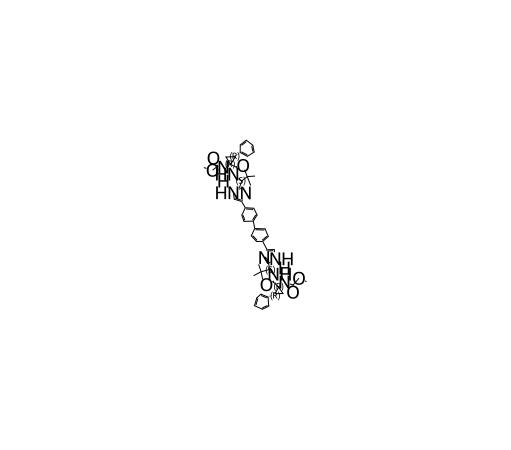 COC(=O)N[C@]1(C(=O)N[C@H](c2nc(-c3ccc(-c4ccc(-c5c[nH]c([C@@H](NC(=O)[C@@]6(NC(=O)OC)C[C@@H]6c6ccccc6)C(C)(C)C)n5)cc4)cc3)c[nH]2)C(C)(C)C)C[C@@H]1c1ccccc1